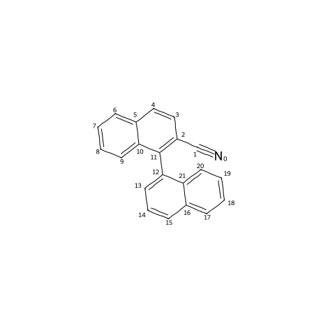 N#Cc1ccc2ccccc2c1-c1cccc2ccccc12